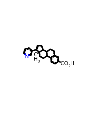 CC12CCC3c4ccc(C(=O)O)cc4CCC3C1CC=C2c1cccnc1